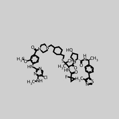 CNc1nc(Nc2ccc(C(=O)N3CCN(CC4CCC(CSC(C)(C)C(NC(=O)C5(F)CC5)C(=O)N5C[C@H](O)C[C@@H]5C(=O)N[C@@H](C)c5ccc(-c6scnc6C)cc5)CC4)CC3)cc2OC)ncc1Cl